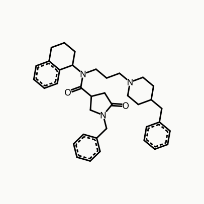 O=C1CC(C(=O)N(CCCN2CCC(Cc3ccccc3)CC2)C2CCCc3ccccc32)CN1Cc1ccccc1